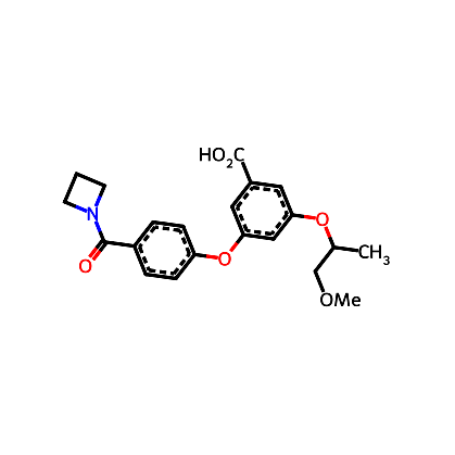 COCC(C)Oc1cc(Oc2ccc(C(=O)N3CCC3)cc2)cc(C(=O)O)c1